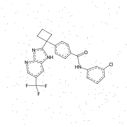 O=C(Nc1cccc(Cl)c1)c1ccc(C2(c3nc4ncc(C(F)(F)F)cc4[nH]3)CCC2)cc1